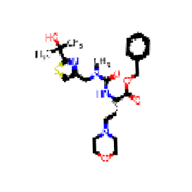 CN(Cc1csc(C(C)(C)O)n1)C(=O)N[C@@H](CCN1CCOCC1)C(=O)OCc1ccccc1